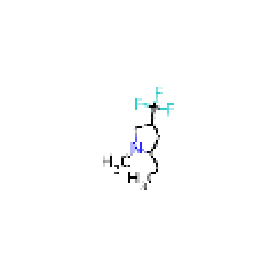 CCC1CC(C(F)(F)F)CN1C